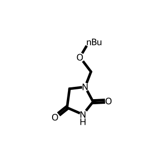 CCCCOCN1CC(=O)NC1=O